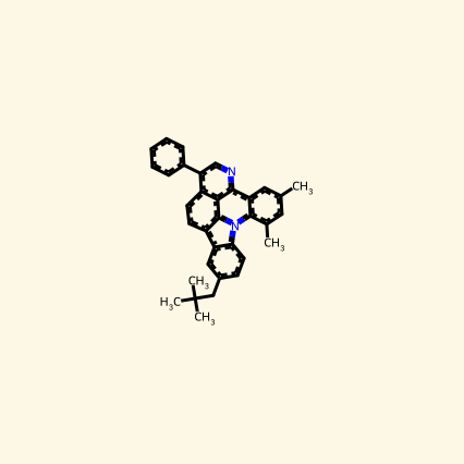 Cc1cc(C)c2c(c1)c1ncc(-c3ccccc3)c3ccc4c5cc(CC(C)(C)C)ccc5n2c4c31